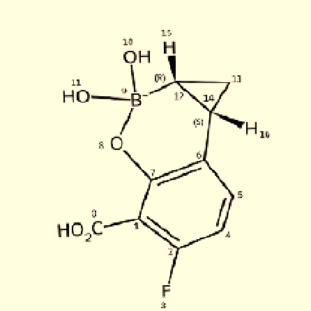 O=C(O)c1c(F)ccc2c1O[B-](O)(O)[C@@H]1C[C@H]21